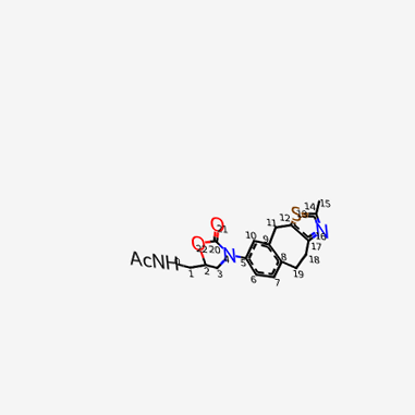 CC(=O)NCC1CN(c2ccc3c(c2)Cc2sc(C)nc2CC3)C(=O)O1